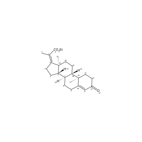 CCOC(=O)/C(C)=C1/CC[C@H]2[C@@H]3CCC4=CC(=O)CC[C@]4(C)[C@H]3CC[C@]12C